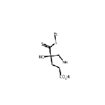 CCSC(=S)C(C#N)(CS)CCC(=O)O